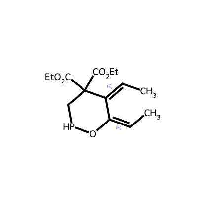 C/C=C1\C(=C/C)OPCC1(C(=O)OCC)C(=O)OCC